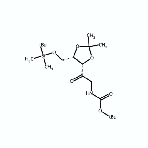 CC(C)(C)OC(=O)NCC(=O)[C@H]1OC(C)(C)O[C@H]1CO[Si](C)(C)C(C)(C)C